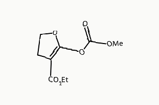 CCOC(=O)C1=C(OC(=O)OC)OCC1